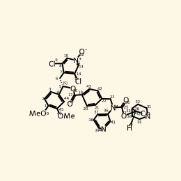 COc1ccc([C@H](Cc2c(Cl)c[n+]([O-])cc2Cl)OC(=O)c2ccc(CN(C(=O)O[C@H]3CN4CCC3CC4)c3cccnc3)cc2)cc1OC